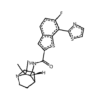 CC1(C)[C@H](NC(=O)c2cc3ccc(F)c(-c4nccs4)c3s2)C2CCN1CC2